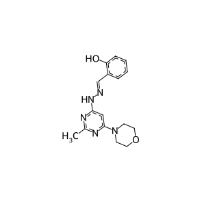 Cc1nc(NN=Cc2ccccc2O)cc(N2CCOCC2)n1